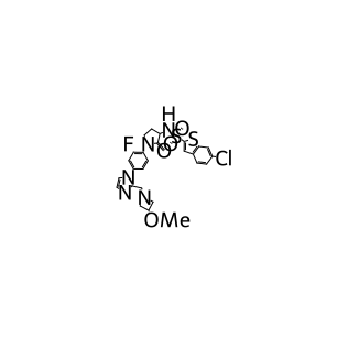 COC1CN(Cc2nccn2-c2ccc(N3CCC(NS(=O)(=O)c4cc5ccc(Cl)cc5s4)C3=O)c(F)c2)C1